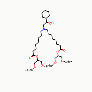 CCCCCCOCC(COCCCCCC)OC(=O)CCCCCCCN(CCCCCCCC(=O)OC(COCCCCCC)COCCCCCC)CC(O)C1CCCCC1